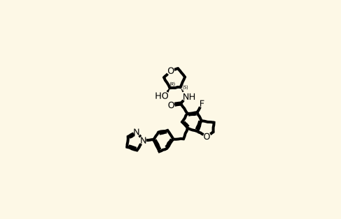 O=C(N[C@H]1CCOC[C@@H]1O)c1cc(Cc2ccc(-n3cccn3)cc2)c2c(c1F)CCO2